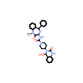 CCN1C(=O)[C@H](NC(=O)N2CCC(N3C(=O)Nc4ccccc4C3O)CC2)N=C(c2ccccc2)c2ccccc21